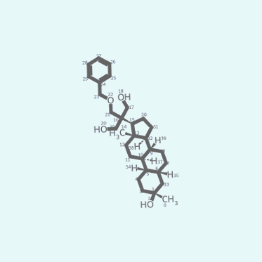 C[C@@]1(O)CC[C@H]2[C@H](CC[C@@H]3[C@@H]2CC[C@]2(C)[C@@H](C(CO)(CO)COCc4ccccc4)CC[C@@H]32)C1